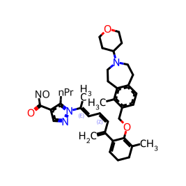 C=C(/C=C\C=C(/C)n1ncc(C(=O)N=O)c1CCC)C1=CCCC(C)=C1OCc1ccc2c(c1C)CCN(C1CCOCC1)CC2